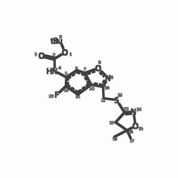 CC(C)(C)OC(=O)Nc1cc2onc(CSC3=NOC(C)(C)C3)c2cc1F